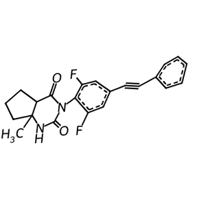 CC12CCCC1C(=O)N(c1c(F)cc(C#Cc3ccccc3)cc1F)C(=O)N2